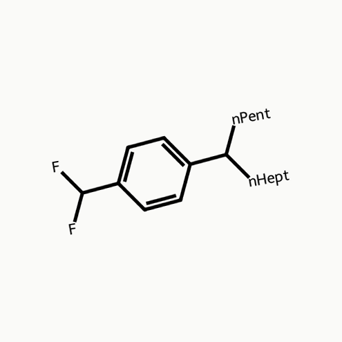 CCCCCCCC(CCCCC)c1ccc(C(F)F)cc1